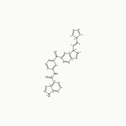 O=C(c1cccc(NC(=O)c2cccc3[nH]ccc23)c1)c1ccc2cnn(C=Nn3cccc3)c2c1